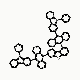 c1ccc(-n2c3ccccc3c3ccc(-c4c5ccccc5c(-c5ccc6c(c5)sc5cccc(-c7c8ccccc8c(-c8ccc9c%10ccccc%10n(-c%10ccccc%10)c9c8)c8ccccc78)c56)c5ccccc45)cc32)cc1